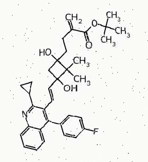 C=C(CCC1(O)CC(O)(C=Cc2c(C3CC3)nc3ccccc3c2-c2ccc(F)cc2)C1(C)C)C(=O)OC(C)(C)C